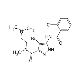 CN(C)CCN(C)C(=O)c1n[nH]c(NC(=O)c2ccccc2Cl)c1Br